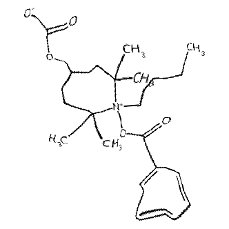 CCCC[N+]1(OC(=O)c2ccccc2)C(C)(C)CC(OC(=O)[O-])CC1(C)C